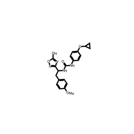 COc1ccc(CC(NC(=O)Nc2ccc(OC3CC3)cc2)c2noc(O)n2)cc1